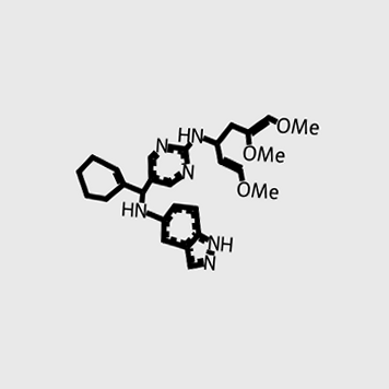 CO/C=C(/CC(/C=C/OC)Nc1ncc(C(Nc2ccc3[nH]ncc3c2)C2=CCCCC2)cn1)OC